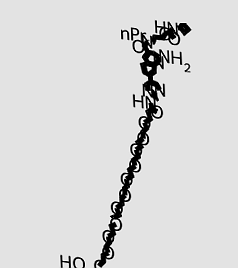 CCCN(CCCOC(=O)NC1CCC1)C(=O)C1=Cc2ccc(-c3cnc(CNC(=O)CCOCCOCCOCCOCCOCCOCCOCCOCCOCCOCCC(=O)O)nc3)cc2N=C(N)C1